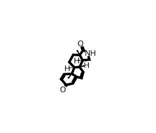 C[C@]12C=CC(=O)C=C1C=C[C@@H]1[C@@H]2CC[C@]2(C)C(=O)NC[C@@H]12